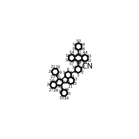 N#Cc1ccc(-c2ccc3c4c(cccc24)-c2c-3c(-c3ccccc3)c3ccccc3c2-c2ccccc2)cc1-c1c2ccccc2c(-c2ccccc2)c2ccccc12